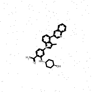 Cc1cn(-c2ccc(C(N)=O)c(N[C@H]3CC[C@H](O)CC3)c2)c2cccc(-c3cnc4ccccc4c3)c12